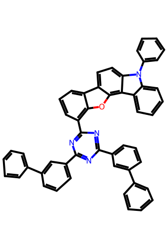 c1ccc(-c2cccc(-c3nc(-c4cccc(-c5ccccc5)c4)nc(-c4cccc5c4oc4c5ccc5c4c4ccccc4n5-c4ccccc4)n3)c2)cc1